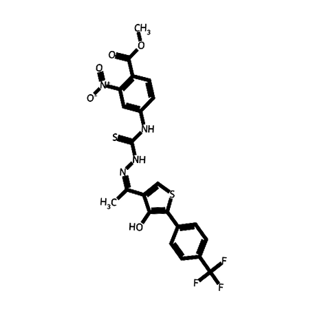 COC(=O)c1ccc(NC(=S)NN=C(C)c2csc(-c3ccc(C(F)(F)F)cc3)c2O)cc1[N+](=O)[O-]